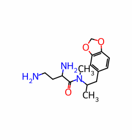 CC(Cc1ccc2c(c1)OCO2)N(C)C(=O)C(N)CCN